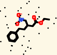 CCOC(=O)CC(CCc1ccccc1)C[N+](=O)[O-]